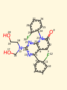 O=c1ccc2c(-c3ccccc3F)nc(N(CO)CCO)nc2n1-c1ccccc1F